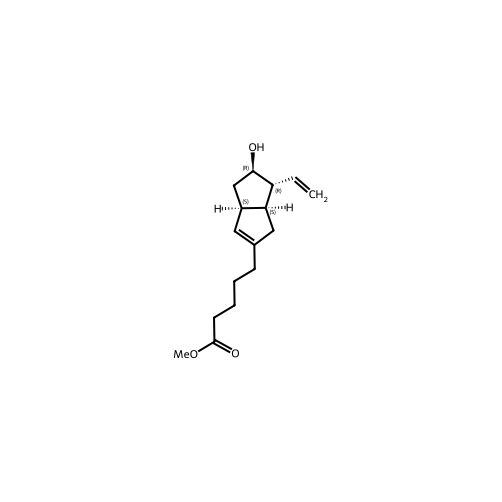 C=C[C@@H]1[C@H]2CC(CCCCC(=O)OC)=C[C@H]2C[C@H]1O